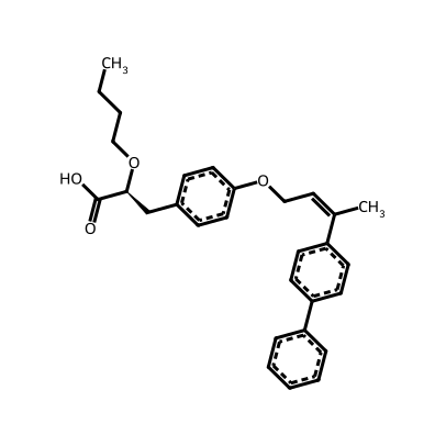 CCCCO[C@@H](Cc1ccc(OC/C=C(/C)c2ccc(-c3ccccc3)cc2)cc1)C(=O)O